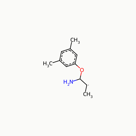 C[CH]C(N)Oc1cc(C)cc(C)c1